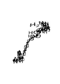 CN(Cc1cnc2nc(N)nc(N)c2n1)c1ccc(C(=O)NC(CCC(=O)NCCOCCOCCOCCOCCOCCNC(=O)c2sc(Nc3ncccn3)nc2-c2ccccn2)C(O)O)cc1